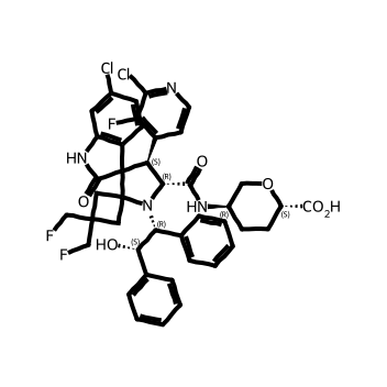 O=C(O)[C@@H]1CC[C@@H](NC(=O)[C@H]2[C@H](c3ccnc(Cl)c3F)C3(C(=O)Nc4cc(Cl)ccc43)C3(CC(CF)(CF)C3)N2[C@H](c2ccccc2)[C@@H](O)c2ccccc2)CO1